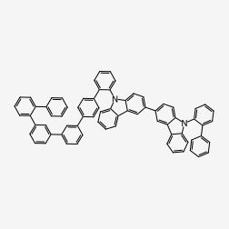 c1ccc(-c2ccccc2-c2cccc(-c3cccc(-c4ccc(-c5ccccc5-n5c6ccccc6c6cc(-c7ccc8c(c7)c7ccccc7n8-c7ccccc7-c7ccccc7)ccc65)cc4)c3)c2)cc1